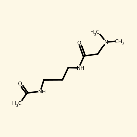 CC(=O)NCCCNC(=O)CN(C)C